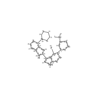 CN(C)c1cncc(-c2ncc3[nH]nc(-c4nc5c(N6CCCCC6)ccnc5[nH]4)c3c2F)c1